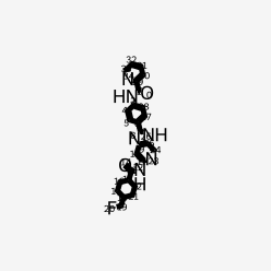 O=C(Nc1ccc(-c2nc3cc(NC(=O)C4CCC(CF)CC4)ncc3[nH]2)cc1)c1ccccn1